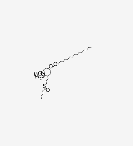 CCCCCCCCCCCCCCCOCOC1CCC(CCCSC(=O)CCCC)[SiH2]N(O)CC1